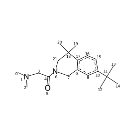 CN(C)CC(=O)N1Cc2cc(C(C)(C)C)ccc2C(C)(C)C1